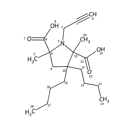 C#CCN1C(C)(C(=O)O)CC(CCCC)(CCCC)C1(C)C(=O)O